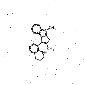 CC1=C(c2cccc3c2NCCC3)c2c(n(C)c3ccccc23)C1